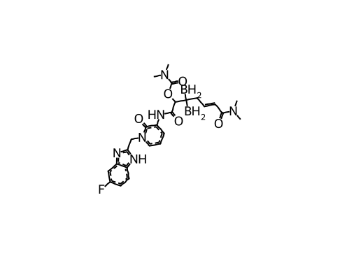 BC(B)(C/C=C/C(=O)N(C)C)C(OC(=O)N(C)C)C(=O)Nc1cccn(Cc2nc3cc(F)ccc3[nH]2)c1=O